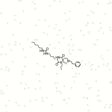 CCCCCCNC(=O)NCCCC[C@@H]1NC(=O)C2(CCN(CCc3ccccc3)CC2)N(CCC)C1=O